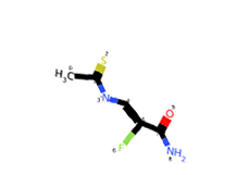 CC(=S)[N]C=C(F)C(N)=O